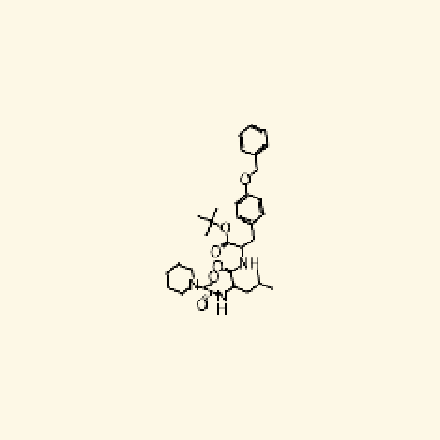 CC(C)CC(NS(=O)(=O)N1CCCCC1)C(=O)NC(Cc1ccc(OCc2ccccc2)cc1)C(=O)OC(C)(C)C